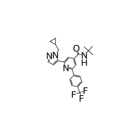 CC(C)(C)NC(=O)c1cc(-c2ccc(C(F)(F)F)cc2)nc(-c2ccnn2CC2CC2)c1